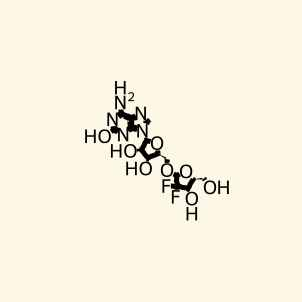 Nc1nc(O)nc2c1ncn2[C@H]1O[C@H](COC2O[C@H](CO)[C@@H](O)C2(F)F)[C@@H](O)[C@H]1O